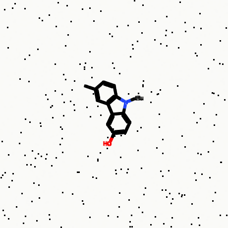 Cc1ccc2c(c1)c1cc(O)ccc1n2C(C)(C)C